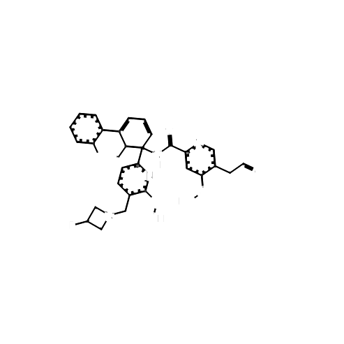 C=CCc1cnc(C(=O)NC2(c3ccc(CN4CC(F)C4)c(OC)n3)C=CC=C(c3ccccc3Cl)C2Cl)cc1OC